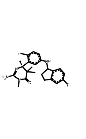 CN1C(=O)C(C)(C)[C@@](C)(c2cc(NC3CCc4cc(F)ccc43)ccc2F)N=C1N